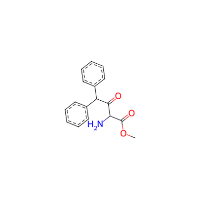 COC(=O)C(N)C(=O)C(c1ccccc1)c1ccccc1